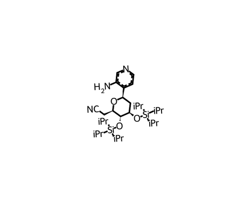 CC(C)[Si](O[C@@H]1[C@@H](CC#N)O[C@@H](c2ccncc2N)C[C@H]1O[Si](C(C)C)(C(C)C)C(C)C)(C(C)C)C(C)C